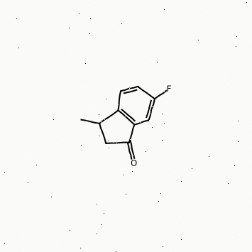 CC1CC(=O)c2cc(F)ccc21